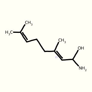 CC(C)=CCC/C(C)=C/C(N)O